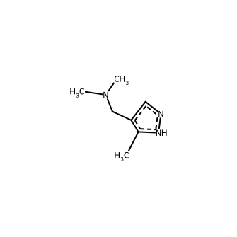 Cc1[nH]ncc1CN(C)C